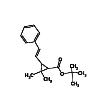 CC(C)(C)OC(=O)C1C(C=Cc2ccccc2)C1(C)C